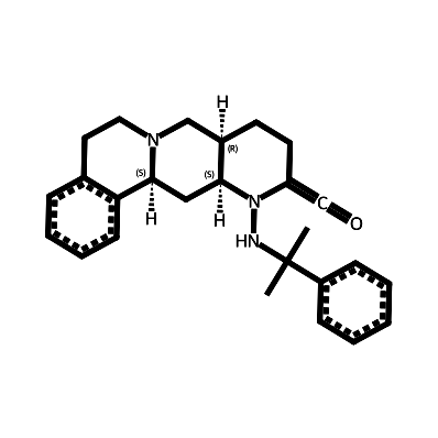 CC(C)(NN1C(=C=O)CC[C@@H]2CN3CCc4ccccc4[C@@H]3C[C@@H]21)c1ccccc1